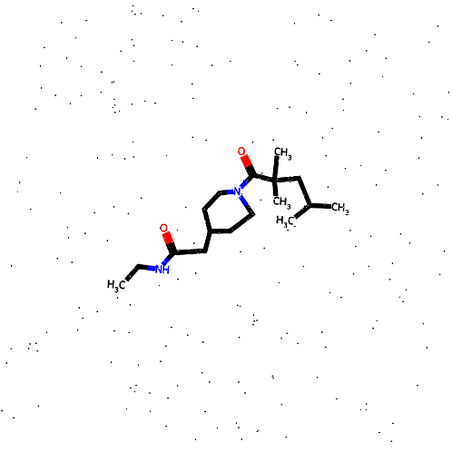 CCNC(=O)CC1CCN(C(=O)C(C)(C)CC(C)C)CC1